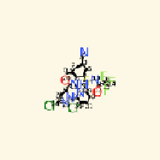 Cc1cc(C#N)cc(S(C)=NC(=O)C(F)(F)F)c1NC(=O)c1cc(Cl)nn1-c1ncccc1Cl